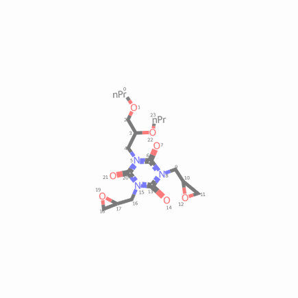 CCCOCC(Cn1c(=O)n(CC2CO2)c(=O)n(CC2CO2)c1=O)OCCC